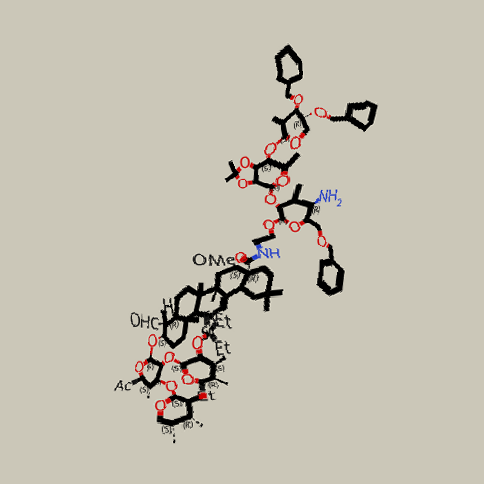 CCC1O[C@@H](OC2[C@H](O[C@H]3CCC4(C)C5CC=C6C7CC(C)(C)CC[C@]7(C(=O)NCCO[C@@H]7OC(COCc8ccccc8)[C@H](N)C(C)C7O[C@@H]7OC(C)[C@H](O[C@@H]8OC[C@@H](OCc9ccccc9)C(OCc9ccccc9)C8C)C8OC(C)(C)OC87)[C@@H](OC)C[C@@]6(C)C5(C)CC[C@H]4[C@@]3(C)C=O)OC(C(C)=O)[C@@H](C)[C@@H]2O[C@@H]2OC[C@@H](C)[C@@H](C)C2C)C(O[Si](CC)(CC)CC)[C@@H](C)[C@H]1C